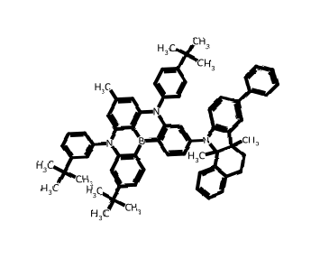 Cc1cc2c3c(c1)N(c1cccc(C(C)(C)C)c1)c1cc(C(C)(C)C)ccc1B3c1ccc(N3c4ccc(-c5ccccc5)cc4C4(C)CCc5ccccc5C34C)cc1N2c1ccc(C(C)(C)C)cc1